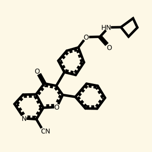 N#Cc1nccc2c(=O)c(-c3ccc(OC(=O)NC4CCC4)cc3)c(-c3ccccc3)oc12